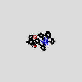 C1=CCC2Oc3ccc(-c4ccccc4-c4nc(-c5ccccc5)nc(-c5ccccc5-c5ccccc5)n4)cc3C3(C2=C1)c1ccccc1-c1ccccc13